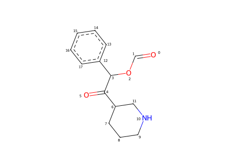 O=COC(C(=O)C1CCCNC1)c1ccccc1